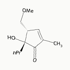 CCC[C@]1(O)C(=O)C(C)=C[C@H]1COC